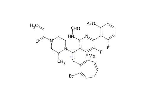 C=CC(=O)N1CCN(/C(=N/C2=C(SC)C=CCC=C2CC)c2cc(F)c(-c3c(F)cccc3OC(C)=O)nc2NC=O)C(C)C1